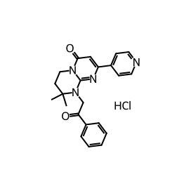 CC1(C)CCn2c(nc(-c3ccncc3)cc2=O)N1CC(=O)c1ccccc1.Cl